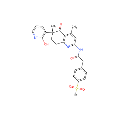 CCS(=O)(=O)c1ccc(CC(=O)Nc2cc(C)c3c(n2)CCC(C)(c2cccnc2O)C3=O)cc1